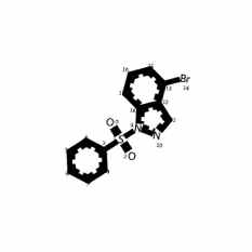 O=S(=O)(c1ccccc1)n1ncc2c(Br)cccc21